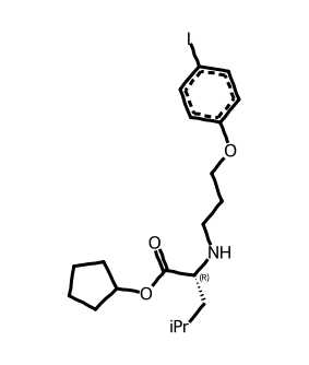 CC(C)C[C@@H](NCCCOc1ccc(I)cc1)C(=O)OC1CCCC1